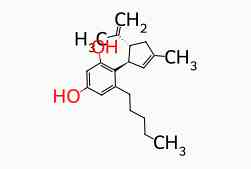 C=C(C)[C@@H]1CC(C)=C[C@H]1c1c(O)cc(O)cc1CCCCC